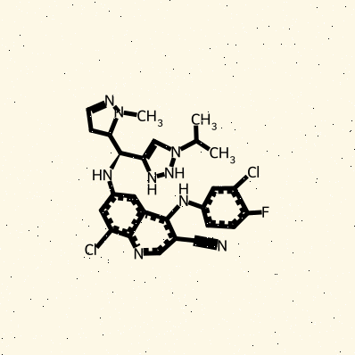 CC(C)N1C=C([C@@H](Nc2cc(Cl)c3ncc(C#N)c(Nc4ccc(F)c(Cl)c4)c3c2)C2CC=NN2C)NN1